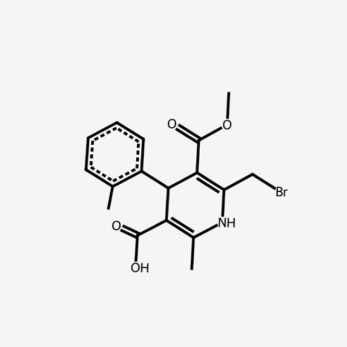 COC(=O)C1=C(CBr)NC(C)=C(C(=O)O)C1c1ccccc1C